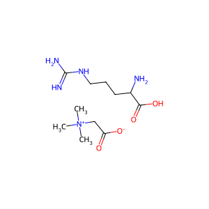 C[N+](C)(C)CC(=O)[O-].N=C(N)NCCCC(N)C(=O)O